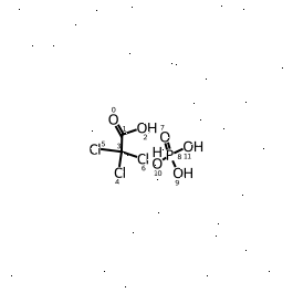 O=C(O)C(Cl)(Cl)Cl.O=P(O)(O)O